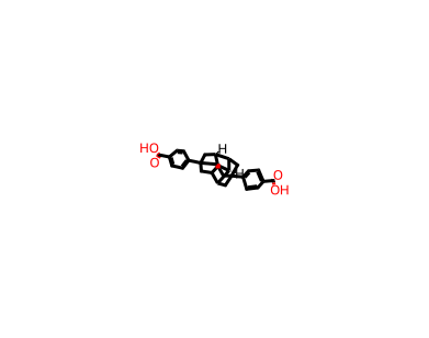 O=C(O)c1ccc(C23CC4C5CC6(c7ccc(C(=O)O)cc7)C[C@H]4C(C2)[C@H](C6)C5C3)cc1